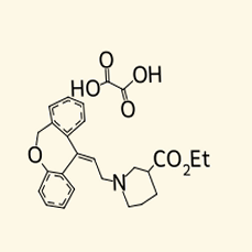 CCOC(=O)C1CCCN(CC=C2c3ccccc3COc3ccccc32)C1.O=C(O)C(=O)O